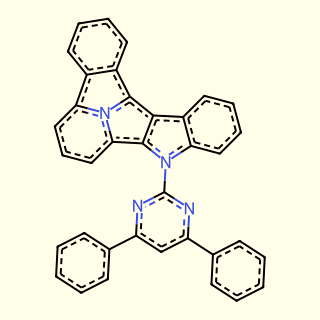 c1ccc(-c2cc(-c3ccccc3)nc(-n3c4ccccc4c4c3c3cccc5c6ccccc6c4n53)n2)cc1